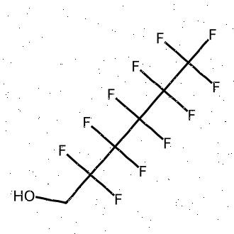 OCC(F)(F)C(F)(F)C(F)(F)C(F)(F)C(F)(F)F